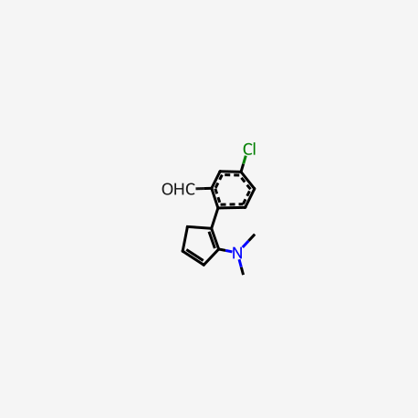 CN(C)C1=C(c2ccc(Cl)cc2C=O)CC=C1